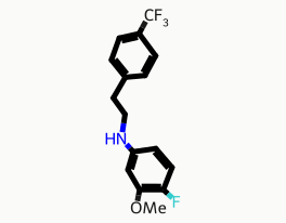 COc1cc(NCCc2ccc(C(F)(F)F)cc2)ccc1F